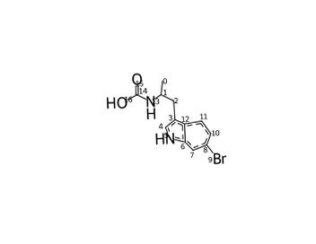 CC(Cc1c[nH]c2cc(Br)ccc12)NC(=O)O